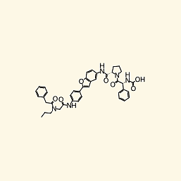 CCCN(CC(=O)Nc1ccc(-c2cc3cc(NC(=O)[C@@H]4CCCN4C(=O)[C@H](NC(=O)O)c4ccccc4)ccc3o2)cc1)C(=O)Cc1ccccc1